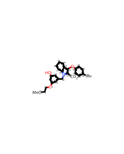 COCCOc1cc(O)cc(Cn2c(C(=O)O)c(Oc3ccc(C(C)(C)C)cc3)c3ccccc32)c1